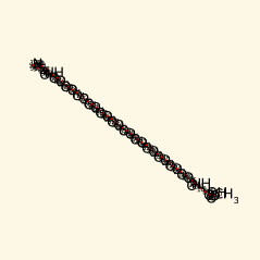 CCOP(=O)(O)OCCCCCCNC(=O)CCOCCOCCOCCOCCOCCOCCOCCOCCOCCOCCOCCOCCOCCOCCOCCOCCOCCOCCOCCOCCOCCOCCOCCOCCNC(=O)CSSc1ccccn1